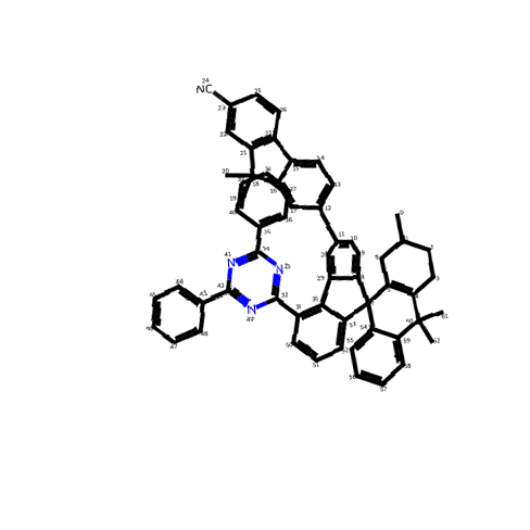 CC1CCC2=C(C1)C1(c3ccc(-c4ccc5c(c4)C(C)(C)c4cc(C#N)ccc4-5)cc3-c3c(-c4nc(-c5ccccc5)nc(-c5ccccc5)n4)cccc31)c1ccccc1C2(C)C